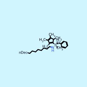 CCCCCCCCCCCCCCCCCC[NH][Ti]([CH3])([SiH2]c1ccccc1)[C]1=C(C)C(C)=C(C)C1C